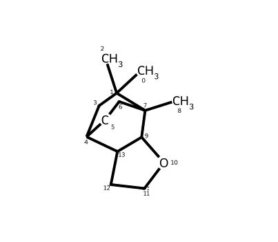 CC1(C)CC2CCC1(C)C1O[C]CC21